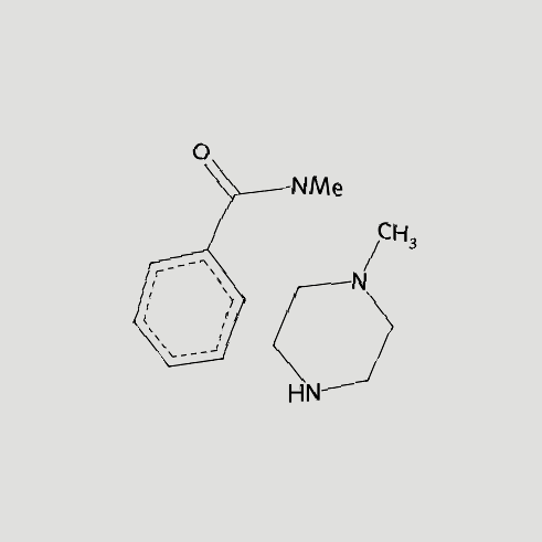 CN1CCNCC1.CNC(=O)c1ccccc1